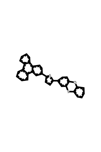 c1ccc2c(c1)Oc1ccc(-c3ccc(-c4ccc5c6ccccc6c6ccccc6c5c4)s3)cc1S2